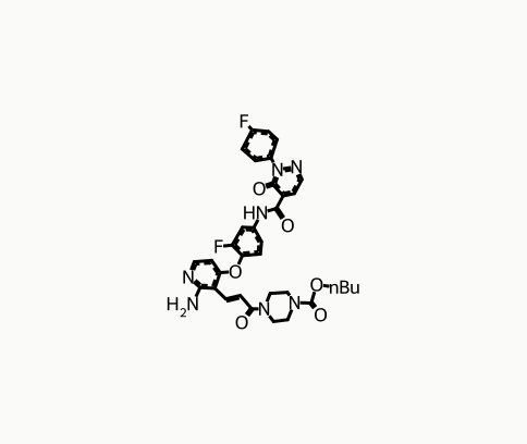 CCCCOC(=O)N1CCN(C(=O)C=Cc2c(Oc3ccc(NC(=O)c4ccnn(-c5ccc(F)cc5)c4=O)cc3F)ccnc2N)CC1